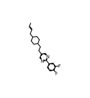 C/C=C/CC1CCC(CCc2cnc(-c3ccc(F)c(F)c3)nc2)CC1